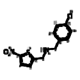 O=[N+]([O-])c1ccc(CNCc2ccc(Cl)cc2)s1